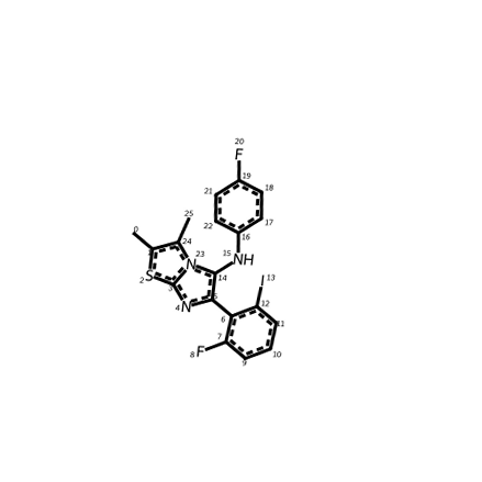 Cc1sc2nc(-c3c(F)cccc3I)c(Nc3ccc(F)cc3)n2c1C